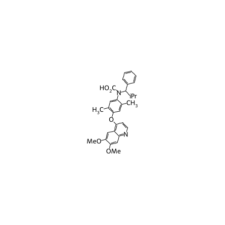 COc1cc2nccc(Oc3cc(C)c(N(C(=O)O)C(c4ccccc4)C(C)C)cc3C)c2cc1OC